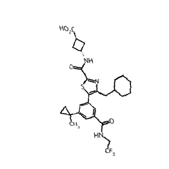 CC1(c2cc(C(=O)NCC(F)(F)F)cc(-c3sc(C(=O)N[C@H]4C[C@H](C(=O)O)C4)nc3CC3CCCCC3)c2)CC1